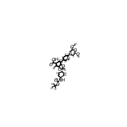 CO[C@H]1CN(c2ccc(-c3cc(C(=O)O)c(C)c4c3OC(C)([C@H]3CC[C@H](NC(=O)OC(C)(C)C)CC3)O4)cn2)C[C@@H](OC)O1